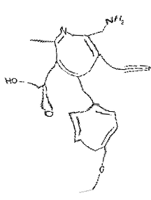 COc1ccc(-c2c(C#N)c(N)nc(C)c2C(=O)O)cc1